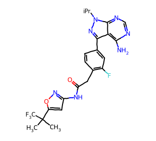 CC(C)n1nc(-c2ccc(CC(=O)Nc3cc(C(C)(C)C(F)(F)F)on3)c(F)c2)c2c(N)ncnc21